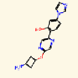 N[C@H]1C[C@@H](Oc2cnc(-c3ccc(-n4ccnc4)cc3O)cn2)C1